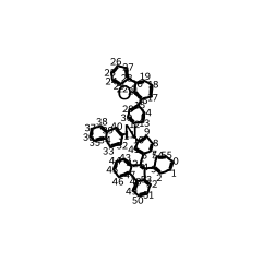 c1ccc(-c2c(-c3cccc(N(c4ccc(-c5cccc6c5oc5ccccc56)cc4)c4ccc5ccccc5c4)c3)c3ccccc3c3ccccc23)cc1